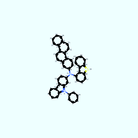 c1ccc(-n2c3ccccc3c3ccc(N(c4ccc5c(ccc6c7ccccc7ccc56)c4)c4cccc5sc6ccccc6c45)cc32)cc1